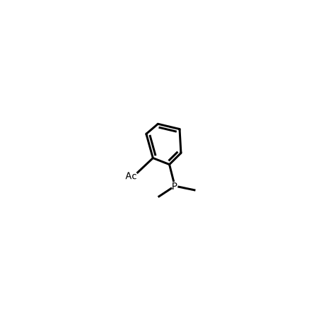 CC(=O)c1ccccc1P(C)C